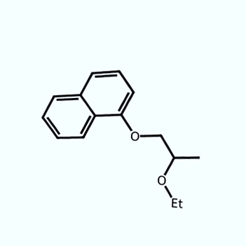 CCOC(C)COc1cccc2ccccc12